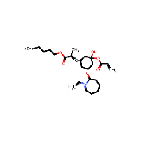 C=C(C)C(=O)OCCCCCCCCCCCCCC.C=CC(=O)OC1(O)CCCCC1.C=CN1CCCCCC1=O